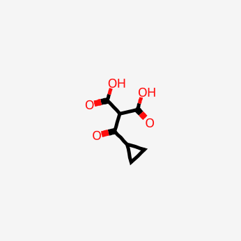 O=C(O)C(C(=O)O)C(=O)C1CC1